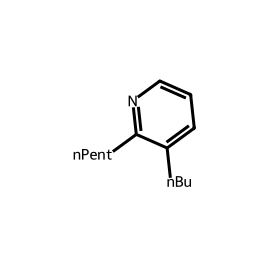 CCCCCc1ncccc1CCCC